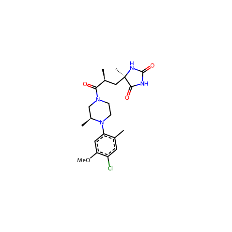 COc1cc(N2CCN(C(=O)[C@@H](C)C[C@@]3(C)NC(=O)NC3=O)C[C@@H]2C)c(C)cc1Cl